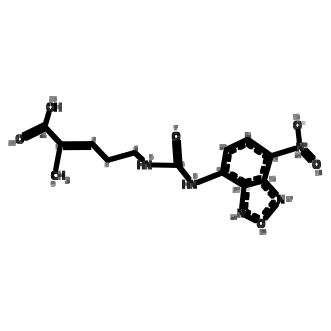 C/C(=C\CCNC(=O)Nc1ccc([N+](=O)[O-])c2nonc12)C(=O)O